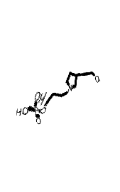 [O]CC1CCN(CCOP(=O)(O)O)C1